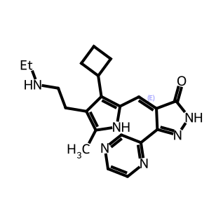 CCNCCc1c(C)[nH]c(/C=C2/C(=O)NN=C2c2cnccn2)c1C1CCC1